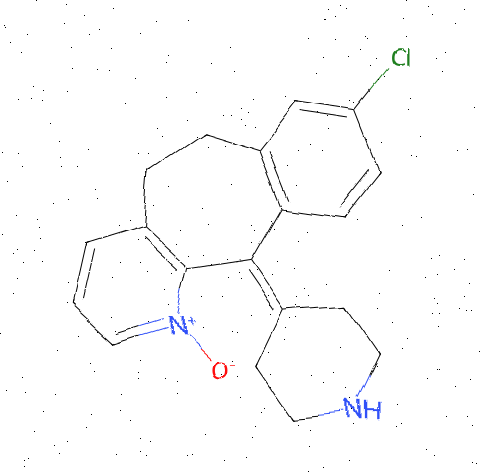 [O-][n+]1cccc2c1C(=C1CCNCC1)c1ccc(Cl)cc1CC2